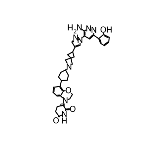 Nc1nnc(-c2ccccc2O)cc1-n1cc(C2CC3(C2)CN(C2CCC(c4cccc5c4OCCN5[C@@H]4CCC(=O)NC4=O)CC2)C3)cn1